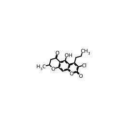 CCCc1c(Cl)c(=O)oc2cc3c(c(O)c12)C(=O)CC(C)O3